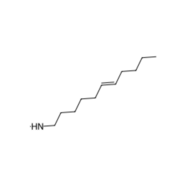 CCCC/C=C/CCCCC[NH]